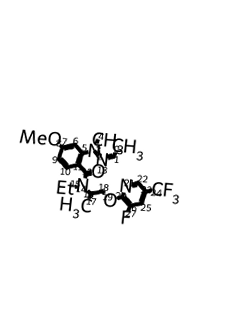 C/C=N\N(C)c1cc(OC)ccc1C(=O)N(CC)C(C)COc1ncc(C(F)(F)F)cc1F